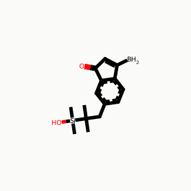 BC1=CC(=O)c2cc(CC(C)(C)[Si](C)(C)O)ccc21